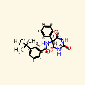 CC(C)(C)c1cccc(C(=O)NC2(c3ccccc3)C(=O)NC(=O)NC2=O)c1